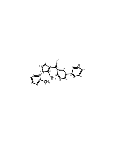 Cc1ccccc1-n1ncc(C(=O)c2cccc(-c3cccnc3)c2)c1N